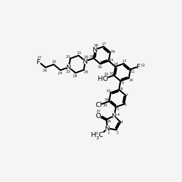 Cn1ccn(-c2ccc(-c3cc(F)cc(-c4ccnc(N5CCN(CCCF)CC5)c4)c3O)cc2Cl)c1=O